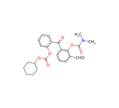 CN(C)C(=O)Oc1c([C]=O)cccc1C(=O)c1ccccc1OC(=O)OC1CCCCC1